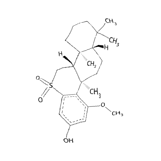 COc1cc(O)cc2c1[C@]1(C)CC[C@H]3C(C)(C)CCC[C@]3(C)[C@H]1CS2(=O)=O